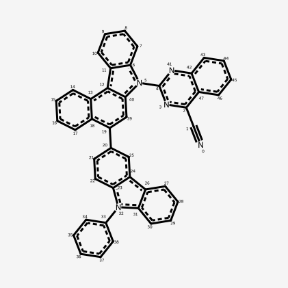 N#Cc1nc(-n2c3ccccc3c3c4ccccc4c(-c4ccc5c(c4)c4ccccc4n5-c4ccccc4)cc32)nc2ccccc12